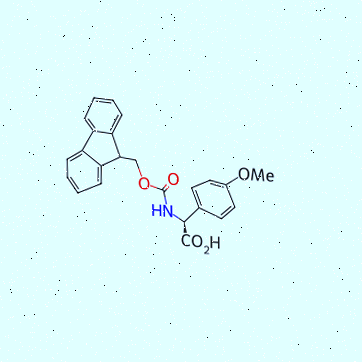 COc1ccc([C@H](NC(=O)OCC2c3ccccc3-c3ccccc32)C(=O)O)cc1